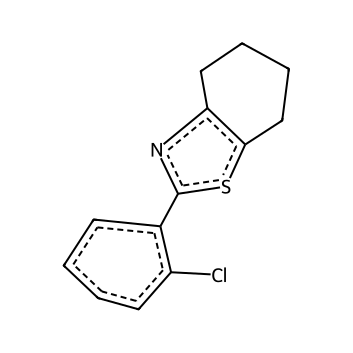 Clc1ccccc1-c1nc2c(s1)CCCC2